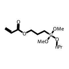 C=CC(=O)OCCC[Si](OC)(OC)OCCC